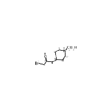 O=C(CBr)CC1CCN(C(=O)O)CC1